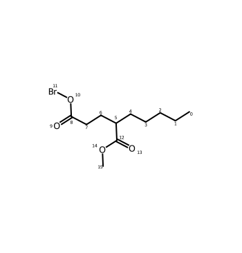 CCCCCC(CCC(=O)OBr)C(=O)OC